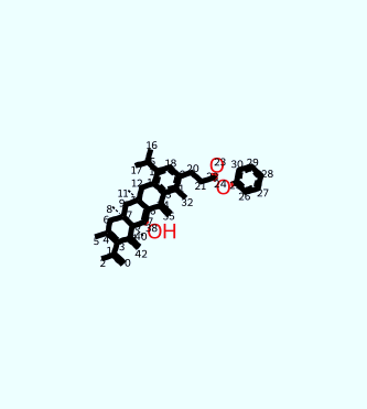 C=C(C)C1=C(C)C[C@@]2(C)C[C@@]3(C)Cc4c(C(C)C)cc(CCC(=O)Oc5ccccc5)c(C)c4C(=C)C3=C(O)[C@@]2(C)C1=C